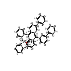 CCc1nc2ccccc2n1-c1ccccc1-c1c2ccccc2c(-c2cccc(-c3ccccc3)c2)c2cc(-c3ccccc3)ccc12